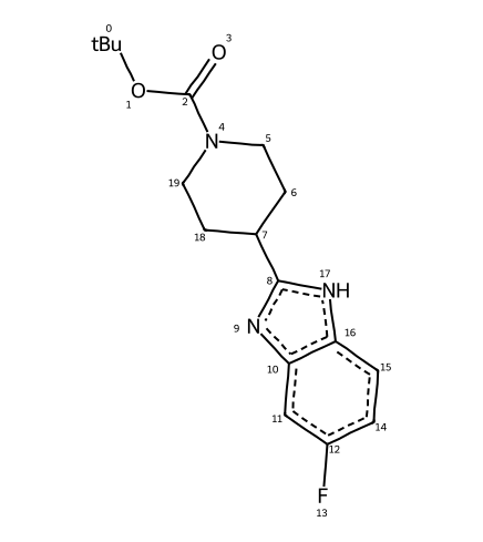 CC(C)(C)OC(=O)N1CCC(c2nc3cc(F)ccc3[nH]2)CC1